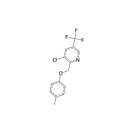 Cc1ccc(OCc2ncc(C(F)(F)F)cc2Cl)cc1